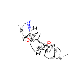 CC1=C2C(=O)[C@H]3[C@@H](CC=C4C[C@@H](C)CC[C@@]43C)[C@@H]2CC[C@]12O[C@@H]1C[C@H](C)CN[C@H]1[C@H]2C